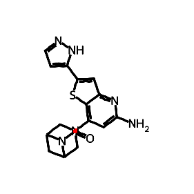 Nc1cc(N2CC3CC(C2)N3C=O)c2sc(-c3ccn[nH]3)cc2n1